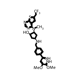 COC(=N)/C(=C\C(=N)c1ccc(CN[C@H]2C[C@@H](O)[C@@H](N(C)c3ncnc4sc(CC(F)(F)F)cc34)C2)cc1)OC